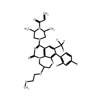 C=CC(=O)N1C(C)CN(c2nc(=O)n3c4c(c(-c5ccc(F)cc5F)c(C(F)(F)F)cc24)SCC(OCCOC)C3)CC1C